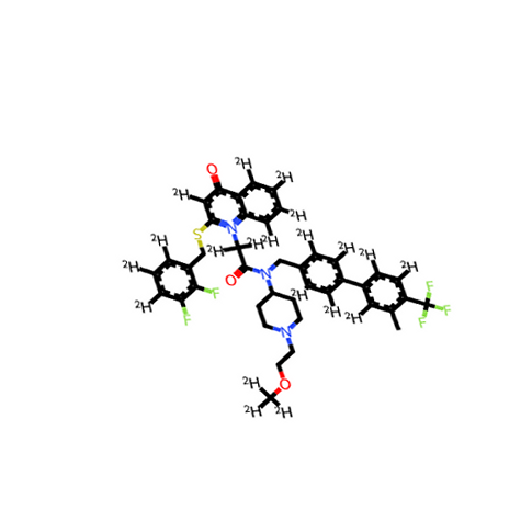 [2H]c1c([2H])c(F)c(F)c(CSc2c([2H])c(=O)c3c([2H])c([2H])c([2H])c([2H])c3n2C([2H])([2H])C(=O)N(Cc2c([2H])c([2H])c(-c3c([2H])c([2H])c(C(F)(F)F)c(C)c3[2H])c([2H])c2[2H])C2CCN(CCOC([2H])([2H])[2H])CC2)c1[2H]